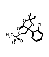 CCC1(CC)OC(=O)C(COS(C)(=O)=O)(c2ccccc2Cl)O1